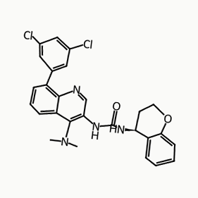 CN(C)c1c(NC(=O)N[C@H]2CCOc3ccccc32)cnc2c(-c3cc(Cl)cc(Cl)c3)cccc12